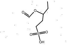 CCC(CCS(=O)(=O)O)O[C]=O